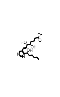 CCCCC[C@@H](O)c1ncncc1/C=C/[C@@H](O)[C@@H](O)CCCC(=O)OC